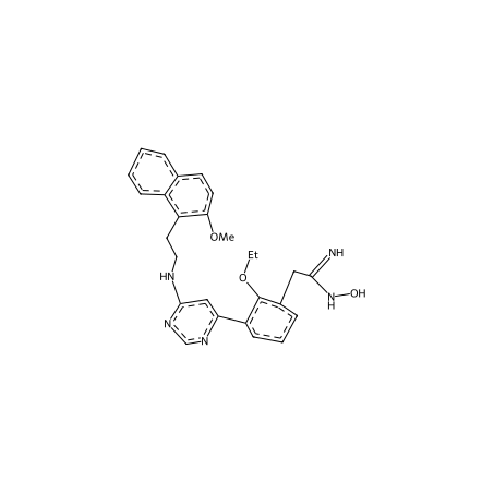 CCOc1c(CC(=N)NO)cccc1-c1cc(NCCc2c(OC)ccc3ccccc23)ncn1